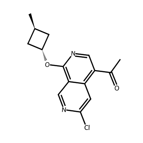 CC(=O)c1cnc(O[C@H]2C[C@H](C)C2)c2cnc(Cl)cc12